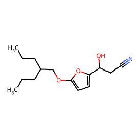 CCCC(CCC)COc1ccc(C(O)CC#N)o1